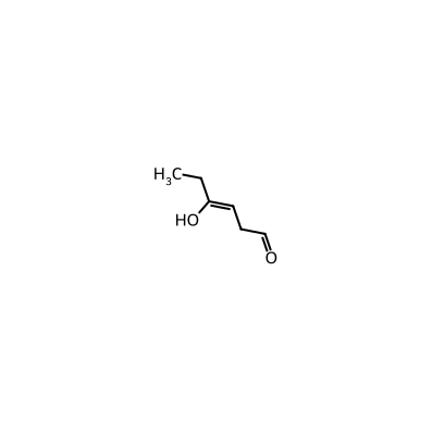 CCC(O)=CCC=O